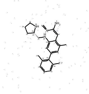 C=N/C(N)=C\c1c(C)cc(-c2c(C)cccc2F)cc1NC[C@@H]1CCCN1